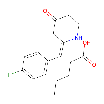 CCCCC(=O)O.O=C1CCNC(=Cc2ccc(F)cc2)C1